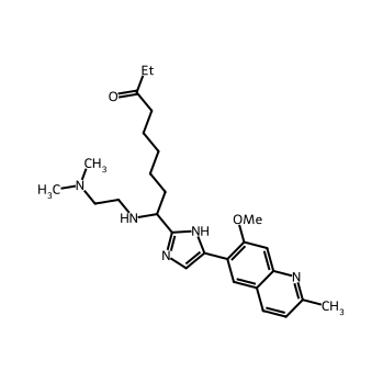 CCC(=O)CCCCCC(NCCN(C)C)c1ncc(-c2cc3ccc(C)nc3cc2OC)[nH]1